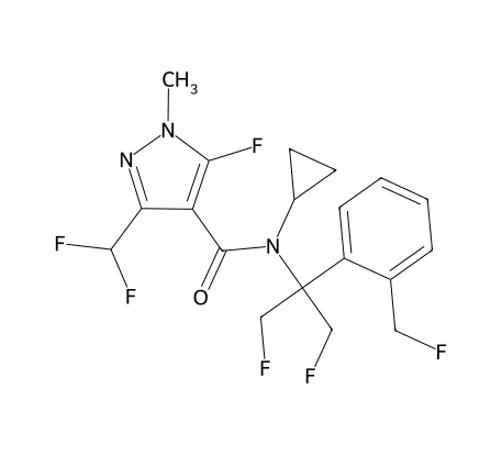 Cn1nc(C(F)F)c(C(=O)N(C2CC2)C(CF)(CF)c2ccccc2CF)c1F